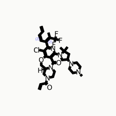 C=C/C=C\C(=C(/C)C(F)(F)F)c1nc(N2CC(N3CCN(C)CC3)CC2(C)C)c2c(c1Cl)OC[C@H]1CN(C(=O)C=C)CCN1C2=O